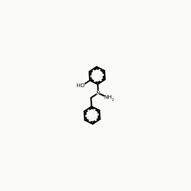 NN(Cc1ccccc1)c1ccccc1O